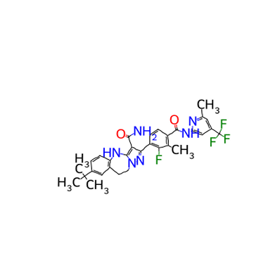 Cc1cc(C(F)(F)F)cc(NC(=O)c2ccc(-c3nn4c(c3C(N)=O)Nc3ccc(C(C)(C)C)cc3CC4)c(F)c2C)n1